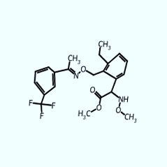 CCc1cccc(C(NOC)C(=O)OC)c1CO/N=C(\C)c1cccc(C(F)(F)F)c1